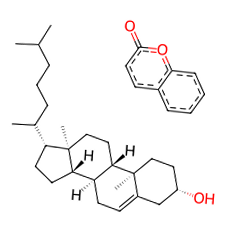 CC(C)CCCC(C)[C@H]1CC[C@H]2[C@@H]3CC=C4C[C@@H](O)CC[C@]4(C)[C@H]3CC[C@]12C.O=c1ccc2ccccc2o1